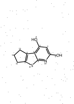 Oc1cc(O)c2c3c(sc2n1)CCC3